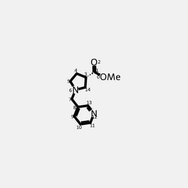 COC(=O)[C@H]1CCN(Cc2cccnc2)C1